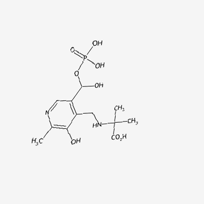 Cc1ncc(C(O)OP(=O)(O)O)c(CNC(C)(C)C(=O)O)c1O